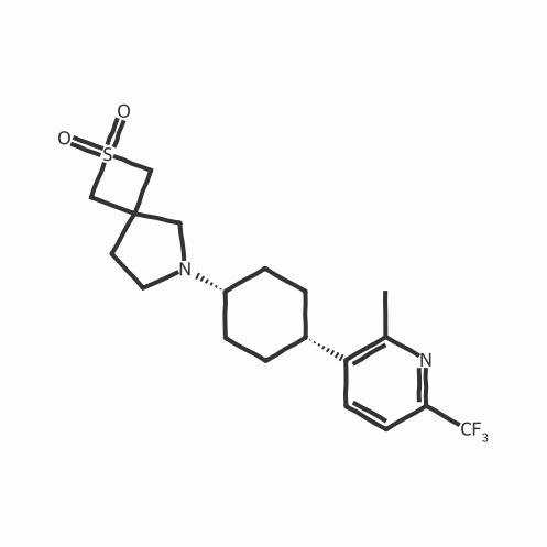 Cc1nc(C(F)(F)F)ccc1[C@H]1CC[C@@H](N2CCC3(C2)CS(=O)(=O)C3)CC1